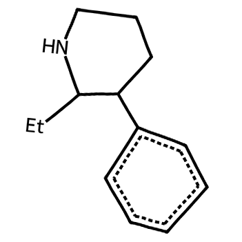 CCC1NCCCC1c1ccccc1